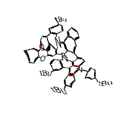 CC(C)(C)c1ccc(N(c2ccc(C(C)(C)C)cc2)c2ccc3c(c2)N(c2ccc(C(C)(C)C)cc2-c2ccccc2)B2c4cc5c(cc4N(c4ccc(C(C)(C)C)cc4-c4ccccc4)c4c2c-3cc2ccccc42)Oc2ccccc2O5)cc1